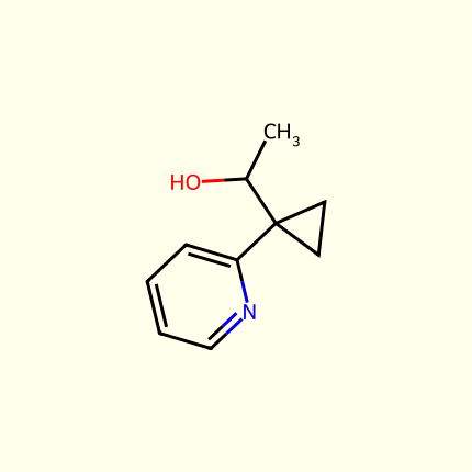 CC(O)C1(c2ccccn2)CC1